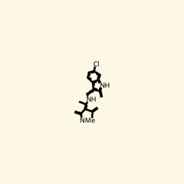 C=C(C)/C(C(=C)NC)=C(/C)N/C=c1\c(=C)[nH]c2cc(Cl)ccc12